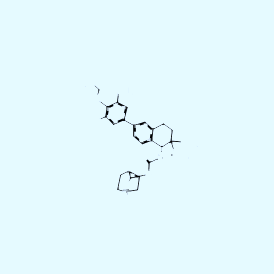 CCOc1c(C)cc(-c2ccc3c(c2)CCC(C)(C)[C@H]3NC(=O)OC2CN3CCC2CC3)cc1C